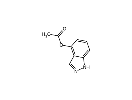 CC(=O)Oc1cccc2[nH]ncc12